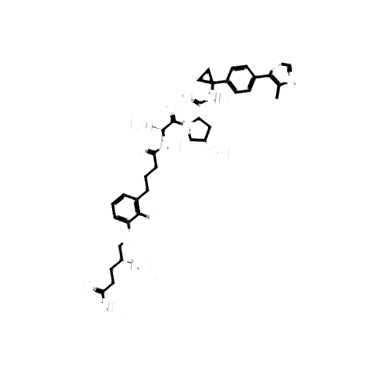 Cc1ncsc1-c1ccc(C2(NC(=O)[C@@H]3C[C@@H](O)CN3C(=O)[C@@H](NC(=O)CCCc3cccc(OC[C@@H](N)CCC(N)=O)c3Cl)C(C)(C)C)CC2)cc1